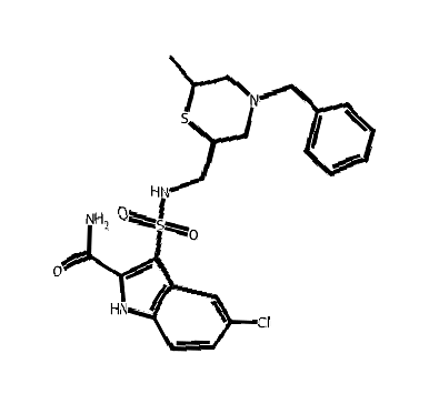 CC1CN(Cc2ccccc2)CC(CNS(=O)(=O)c2c(C(N)=O)[nH]c3ccc(Cl)cc23)S1